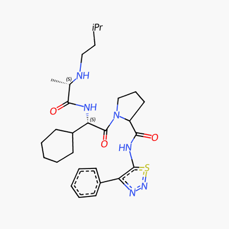 CC(C)CCN[C@@H](C)C(=O)N[C@H](C(=O)N1CCCC1C(=O)Nc1snnc1-c1ccccc1)C1CCCCC1